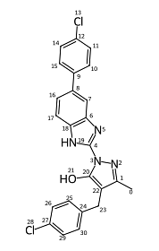 Cc1nn(-c2nc3cc(-c4ccc(Cl)cc4)ccc3[nH]2)c(O)c1Cc1ccc(Cl)cc1